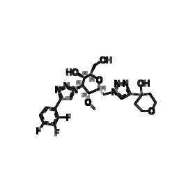 CO[C@@H]1[C@@H](n2cc(-c3ccc(F)c(F)c3F)nn2)[C@@H](O)[C@@H](CO)O[C@@H]1Cn1cc(C2(O)CCOCC2)nn1